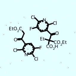 CCOC(=O)C(CC)(C(=O)O)C(=O)c1cc(F)c(Cl)nc1Cl.CCOC(=O)CC(=O)c1cc(F)c(Cl)nc1Cl